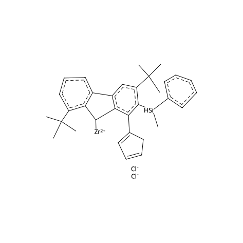 C[SiH](c1ccccc1)c1c(C(C)(C)C)cc2c(c1C1=CC=CC1)[CH]([Zr+2])c1c-2cccc1C(C)(C)C.[Cl-].[Cl-]